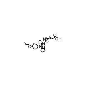 CCCO[C@H]1CC[C@H](N(C(=O)Nc2ncc(SCC(=O)O)s2)C2CCCC2)CC1